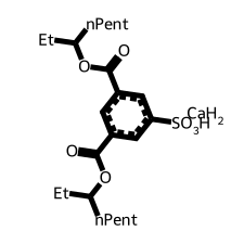 CCCCCC(CC)OC(=O)c1cc(C(=O)OC(CC)CCCCC)cc(S(=O)(=O)O)c1.[CaH2]